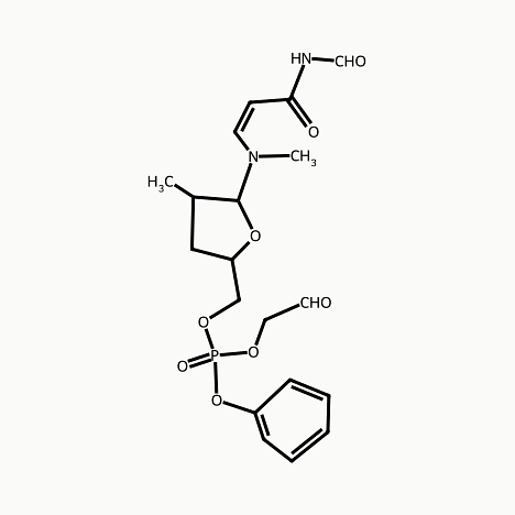 CC1CC(COP(=O)(OCC=O)Oc2ccccc2)OC1N(C)/C=C\C(=O)NC=O